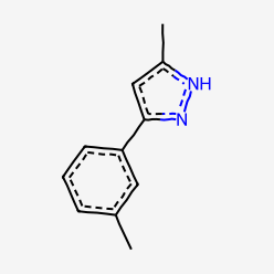 Cc1cccc(-c2cc(C)[nH]n2)c1